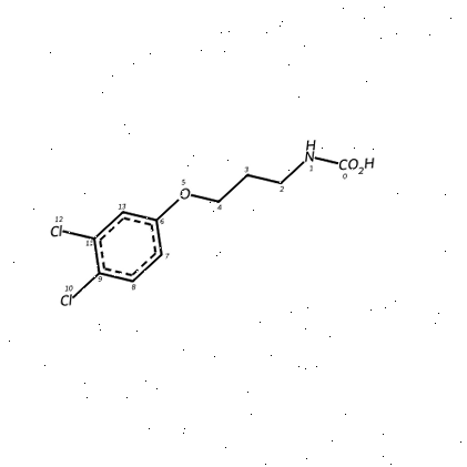 O=C(O)NCCCOc1ccc(Cl)c(Cl)c1